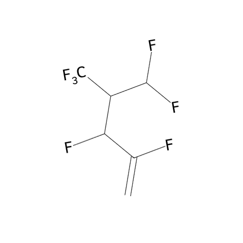 C=C(F)C(F)C(C(F)F)C(F)(F)F